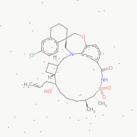 C=CC[C@]1(O)CCC[C@H](C)[C@@H](C)S(=O)(=O)NC(=O)c2ccc3c(c2)N(C[C@@H]2CC[C@H]21)C[C@@]1(CCCc2cc(Cl)ccc21)CO3